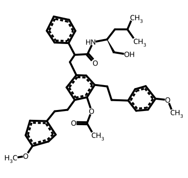 COc1ccc(CCc2cc(CC(C(=O)N[C@H](CO)CC(C)C)c3ccccc3)cc(CCc3ccc(OC)cc3)c2OC(C)=O)cc1